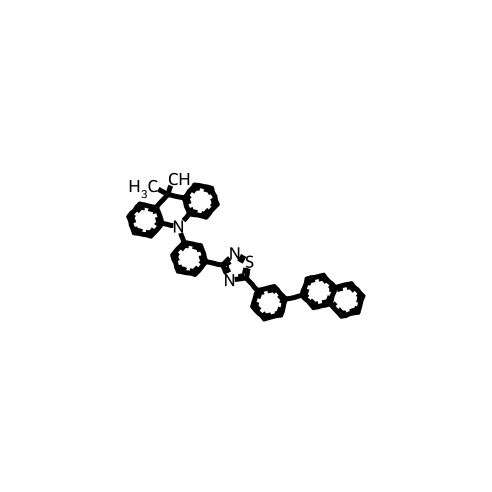 CC1(C)c2ccccc2N(c2cccc(-c3nsc(-c4cccc(-c5ccc6ccccc6c5)c4)n3)c2)c2ccccc21